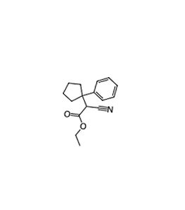 CCOC(=O)C(C#N)C1(c2ccccc2)CCCC1